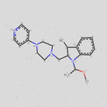 CCOC(C)N1c2ccccc2C(C#N)C1CN1CCN(c2ccncc2)CC1